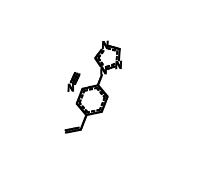 C#N.C=Cc1ccc(-n2cncn2)cc1